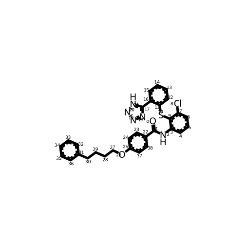 O=C(Nc1cccc(Cl)c1Sc1ccccc1-c1nnn[nH]1)c1ccc(OCCCCc2ccccc2)cc1